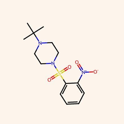 CC(C)(C)N1CCN(S(=O)(=O)c2ccccc2[N+](=O)[O-])CC1